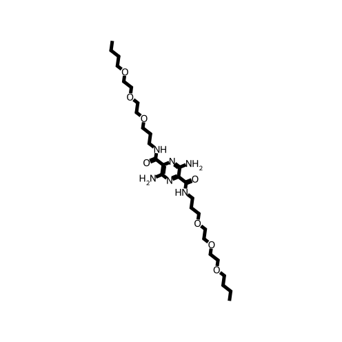 CCCCOCCOCCOCCCNC(=O)c1nc(N)c(C(=O)NCCCOCCOCCOCCCC)nc1N